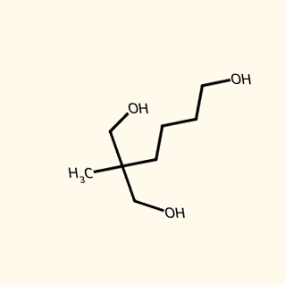 CC(CO)(CO)CCCCO